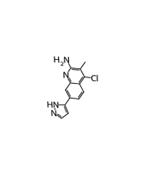 Cc1c(N)nc2cc(-c3ccn[nH]3)ccc2c1Cl